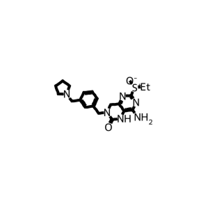 CC[S+]([O-])c1nc(N)c2c(n1)CN(Cc1cccc(CN3CCCC3)c1)C(=O)N2